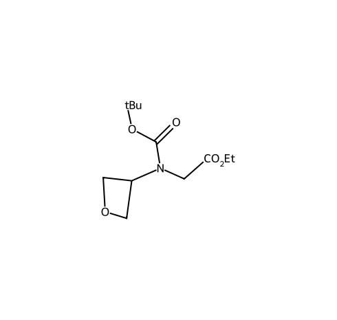 CCOC(=O)CN(C(=O)OC(C)(C)C)C1COC1